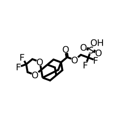 O=C(OCC(F)(F)S(=O)(=O)O)C12CC3CC(C1)C1(OCC(F)(F)CO1)C(C3)C2